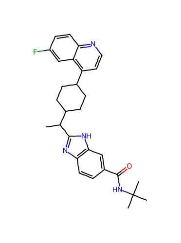 CC(c1nc2ccc(C(=O)NC(C)(C)C)cc2[nH]1)C1CCC(c2ccnc3ccc(F)cc23)CC1